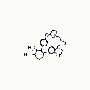 C=C1CCCC(c2ccc3c(c2)OCCO3)=C(c2ccc(O[C@H]3CCN(CCCF)C3)cc2)C1=C